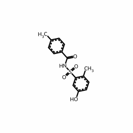 Cc1ccc(C(=O)NS(=O)(=O)c2cc(O)ccc2C)cc1